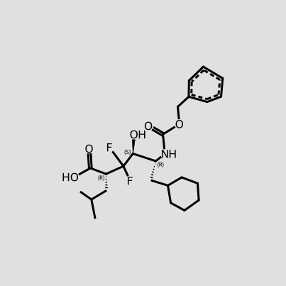 CC(C)C[C@H](C(=O)O)C(F)(F)[C@@H](O)[C@@H](CC1CCCCC1)NC(=O)OCc1ccccc1